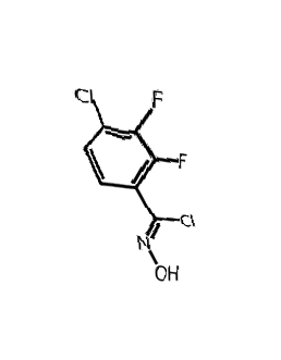 O/N=C(\Cl)c1ccc(Cl)c(F)c1F